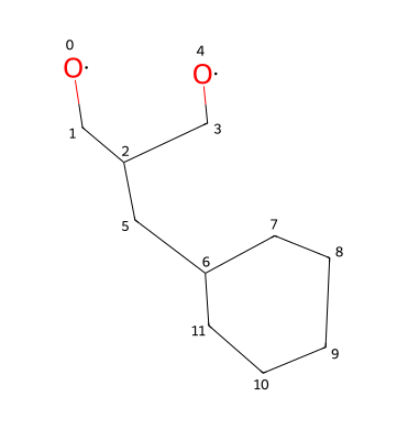 [O]CC(C[O])CC1CCCCC1